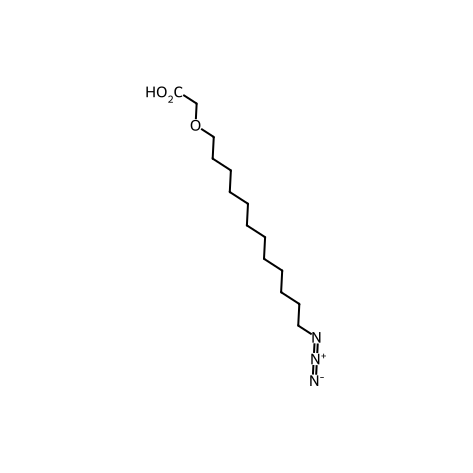 [N-]=[N+]=NCCCCCCCCCCCCOCC(=O)O